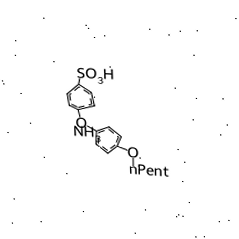 CCCCCOc1ccc(Oc2ccc(S(=O)(=O)O)cc2)cc1.N